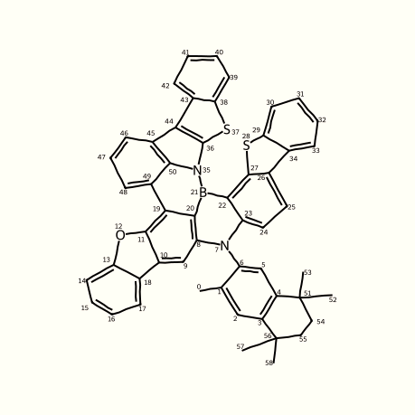 Cc1cc2c(cc1N1c3cc4c(oc5ccccc54)c4c3B(c3c1ccc1c3sc3ccccc31)n1c3sc5ccccc5c3c3cccc-4c31)C(C)(C)CCC2(C)C